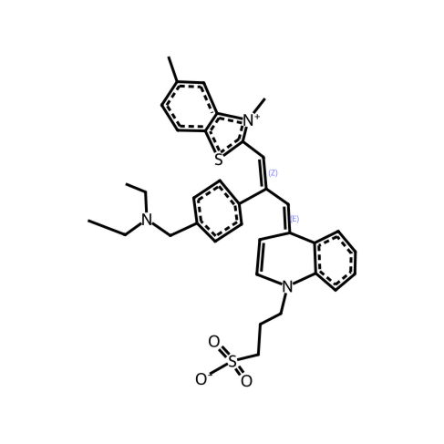 CCN(CC)Cc1ccc(C(=C\c2sc3ccc(C)cc3[n+]2C)/C=C2\C=CN(CCCS(=O)(=O)[O-])c3ccccc32)cc1